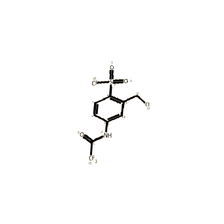 O=C(Nc1ccc(S(=O)(=O)Cl)c(CCl)c1)C(F)(F)F